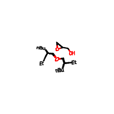 CCCCC(CC)COCC(CC)CCCC.OCC1CO1